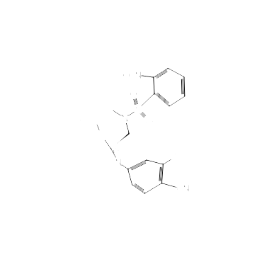 CN(C[C@H](CC(=O)O)Nc1ccc(C#N)c(Cl)c1)S(=O)(=O)c1ccccc1[N+](=O)[O-]